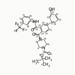 CC(C)(C)OC(=O)N1CCN(C(=O)c2ccc(-c3cccc(O)c3)cc2C(=O)Nc2cccc(C(F)(F)F)c2)CC1